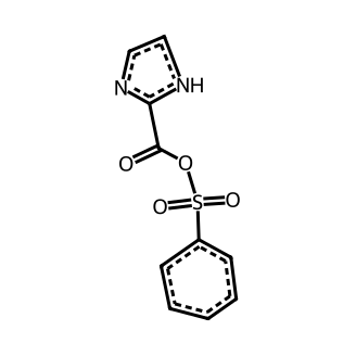 O=C(OS(=O)(=O)c1ccccc1)c1ncc[nH]1